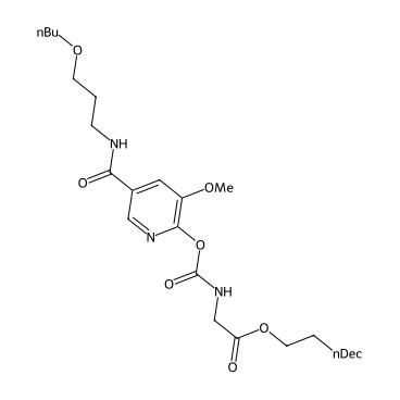 CCCCCCCCCCCCOC(=O)CNC(=O)Oc1ncc(C(=O)NCCCOCCCC)cc1OC